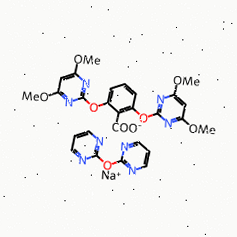 COc1cc(OC)nc(Oc2cccc(Oc3nc(OC)cc(OC)n3)c2C(=O)[O-])n1.[Na+].c1cnc(Oc2ncccn2)nc1